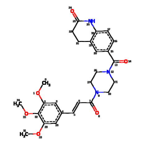 COc1cc(/C=C/C(=O)N2CCN(C(=O)c3ccc4c(c3)CCC(=O)N4)CC2)cc(OC)c1OC